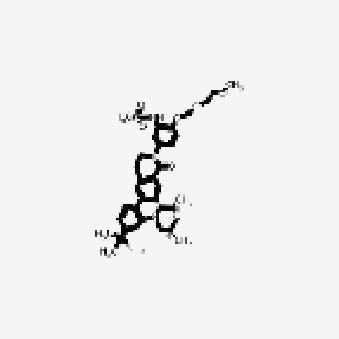 COCCOCOc1ccc(N2CCc3cc(-c4ccc(C(C)(C)C)cc4N4C[C@@H](C)O[C@H](C)C4)ccc3C2=O)cc1NS(C)(=O)=O